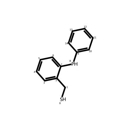 SCc1ccccc1Pc1ccccc1